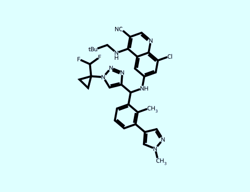 Cc1c(-c2cnn(C)c2)cccc1C(Nc1cc(Cl)c2ncc(C#N)c(NCC(C)(C)C)c2c1)c1cn(C2(C(F)F)CC2)nn1